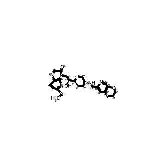 COc1ccc2ncc(=O)n(C[C@H](O)[C@@H]3CC[C@@H](NCc4cc5c(cn4)OCCS5)CO3)c2n1